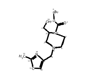 CCCCOC(=O)N1CCN(Cc2coc(C)n2)CC1CO